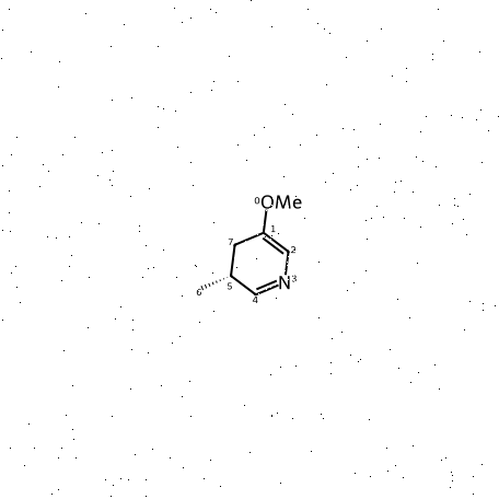 COC1=CN=C[C@H](C)C1